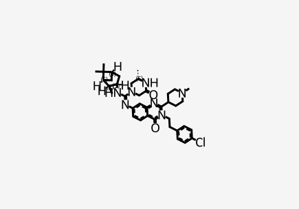 C[C@H]1[C@@H](NC(=Nc2ccc3c(=O)n(CCc4ccc(Cl)cc4)c(C4CCN(C)CC4)nc3c2)N2CC(=O)N[C@@H](C)C2)C[C@@H]2C[C@@H]1C2(C)C